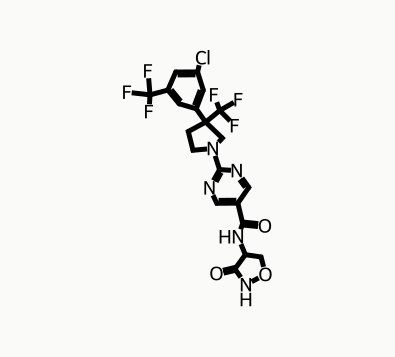 O=C(NC1CONC1=O)c1cnc(N2CCC(c3cc(Cl)cc(C(F)(F)F)c3)(C(F)(F)F)C2)nc1